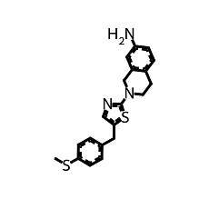 CSc1ccc(Cc2cnc(N3CCc4ccc(N)cc4C3)s2)cc1